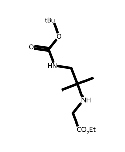 CCOC(=O)CNC(C)(C)CNC(=O)OC(C)(C)C